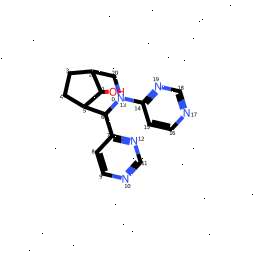 OC1C2CCC1C(c1ccncn1)N(c1ccncn1)C2